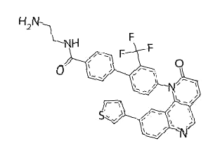 NCCNC(=O)c1ccc(-c2ccc(-n3c(=O)ccc4cnc5ccc(-c6ccsc6)cc5c43)cc2C(F)(F)F)cc1